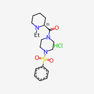 CCN1CCCC[C@H]1C(=O)N1CCN(S(=O)(=O)c2ccccc2)CC1.Cl